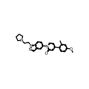 COc1ccc(-c2ccn(-c3ccc4c(cnn4CCN4CCCC4)c3)c(=O)c2)c(C)c1